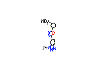 CC(C)n1nnc2ccc(-c3nnc(-c4cccc(C(=O)O)c4)o3)cc21